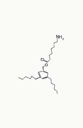 CCCCCCc1cc(CCCCCC)cc(COC(=O)CCCCCCCN)c1